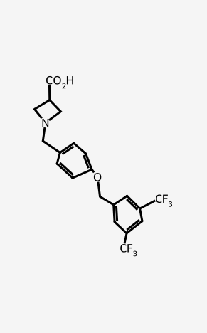 O=C(O)C1CN(Cc2ccc(OCc3cc(C(F)(F)F)cc(C(F)(F)F)c3)cc2)C1